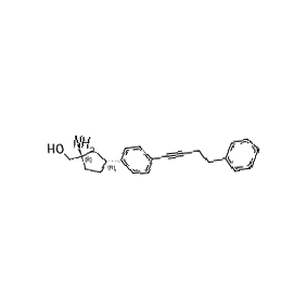 N[C@]1(CO)CC[C@@H](c2ccc(C#CCCc3ccccc3)cc2)C1